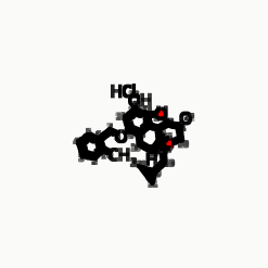 Cc1ccccc1COc1cc(O)c2c3c1C[C@@H]1[C@@H]4CCC(=O)[C@H](O2)[C@]34CCN1CC1CC1.Cl